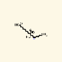 CCCCC/C=C\CC(O)C(CCCCCCCC(=O)O)[N+](=O)[O-]